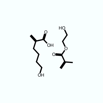 C=C(C)C(=O)OCCO.C=C(CCCCO)C(=O)O